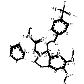 CNC(=O)[C@@H](c1ccccc1)N1CCc2cc(OC)c(OC)nc2[C@@H]1CCc1ccc(C(F)(F)F)cc1